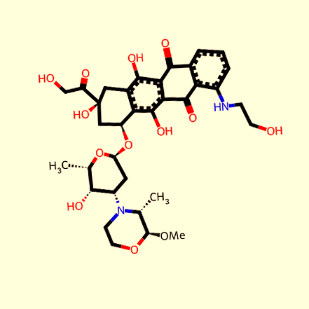 CO[C@H]1OCCN([C@H]2C[C@H](O[C@H]3C[C@](O)(C(=O)CO)Cc4c(O)c5c(c(O)c43)C(=O)c3c(NCCO)cccc3C5=O)O[C@@H](C)[C@H]2O)[C@@H]1C